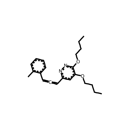 CCCCOc1cc(C=C=Cc2ccccc2C)nnc1OCCCC